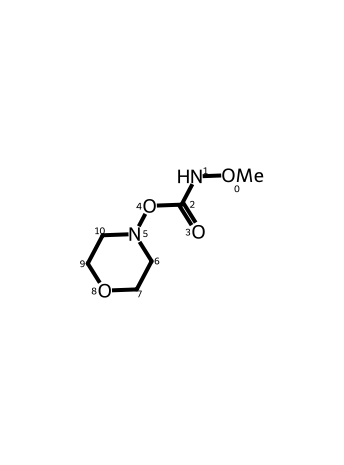 CONC(=O)ON1CCOCC1